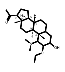 CCOC1C(O)CC2CC[C@@H]3[C@H](CC[C@]4(C)[C@@H](C(C)=O)CC[C@@H]34)[C@@]2(C)C1N(C)C